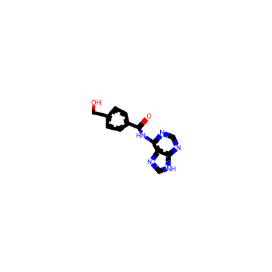 O=C(Nc1ncnc2[nH]cnc12)c1ccc(CO)cc1